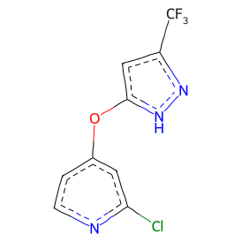 FC(F)(F)c1cc(Oc2ccnc(Cl)c2)[nH]n1